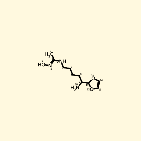 CC(=NO)NCCCCC(N)C1OC=CO1